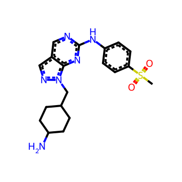 CS(=O)(=O)c1ccc(Nc2ncc3cnn(CC4CCC(N)CC4)c3n2)cc1